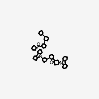 O=P(c1ccccc1)(c1cccc(-c2cccc(-c3ccccc3)c2)c1)c1ccc2c(c1)c1ccccc1n2-c1cccc(-c2cccc3c2oc2ccc(-n4c5ccccc5c5ccccc54)cc23)c1